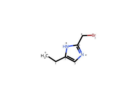 CCc1cnc(CBr)[nH]1